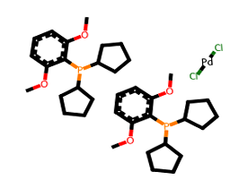 COc1cccc(OC)c1P(C1CCCC1)C1CCCC1.COc1cccc(OC)c1P(C1CCCC1)C1CCCC1.[Cl][Pd][Cl]